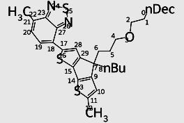 CCCCCCCCCCCCOCCCC1(CCCC)c2cc(C)sc2-c2sc(-c3ccc(C)c4nsnc34)cc21